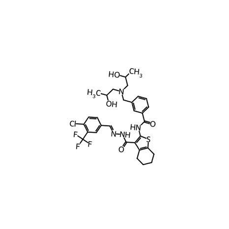 CC(O)CN(Cc1cccc(C(=O)Nc2sc3c(c2C(=O)NN=Cc2ccc(Cl)c(C(F)(F)F)c2)CCCC3)c1)CC(C)O